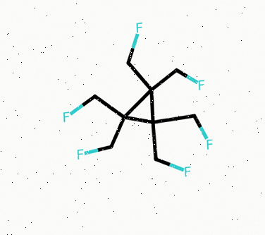 FCC1(CF)C(CF)(CF)C1(CF)CF